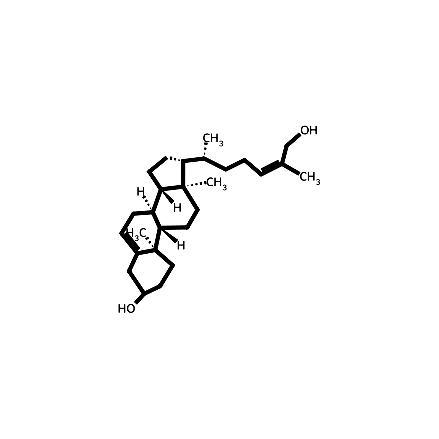 CC(=CCC[C@@H](C)[C@H]1CC[C@H]2[C@@H]3CC=C4CC(O)CC[C@]4(C)[C@H]3CC[C@]12C)CO